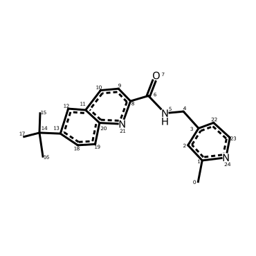 Cc1cc(CNC(=O)c2ccc3cc(C(C)(C)C)ccc3n2)ccn1